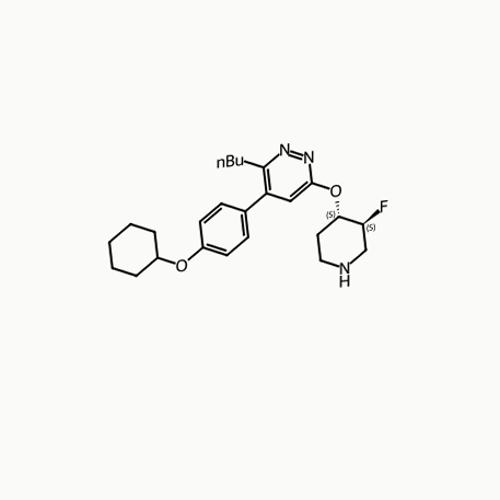 CCCCc1nnc(O[C@H]2CCNC[C@@H]2F)cc1-c1ccc(OC2CCCCC2)cc1